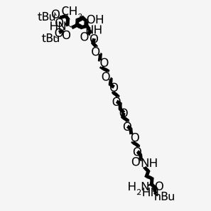 CCCCNC(=O)[C@@H](N)CCCCNC(=O)COCCOCCOCCOCCOCCOCCOCCOCCOCCOC(=O)Nc1cc(C[C@@H](CC(C)C(=O)OC(C)(C)C)NC(=O)OC(C)(C)C)ccc1O